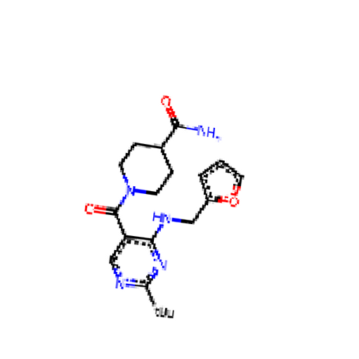 CC(C)(C)c1ncc(C(=O)N2CCC(C(N)=O)CC2)c(NCc2ccco2)n1